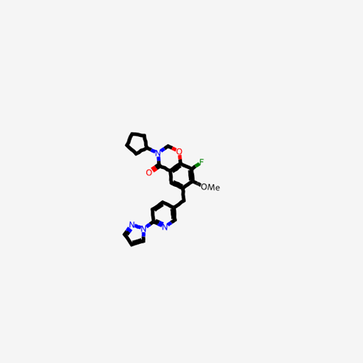 COc1c(Cc2ccc(-n3cccn3)nc2)cc2c(c1F)OCN(C1CCCC1)C2=O